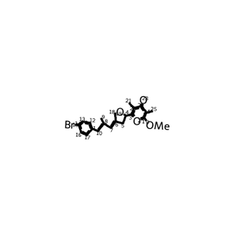 COc1oc(C2C/C(=C/C(C)=C/c3ccc(Br)cc3)CO2)c(C)c(=O)c1C